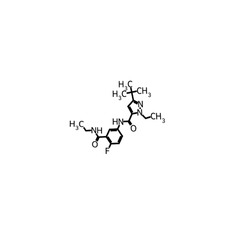 CCNC(=O)c1cc(NC(=O)c2cc(C(C)(C)C)nn2CC)ccc1F